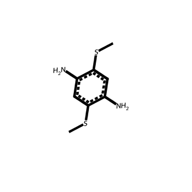 CSc1cc(N)c(SC)cc1N